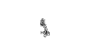 O=C(Nc1ccccc1Cl)N1CCc2sc(-c3noc(C(F)(F)F)n3)cc2C1